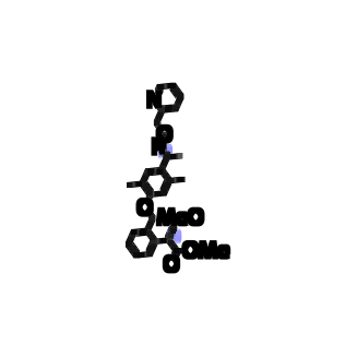 CO/C=C(/C(=O)OC)c1ccccc1COc1cc(C)c(/C(C)=N/OCc2ccccn2)cc1C